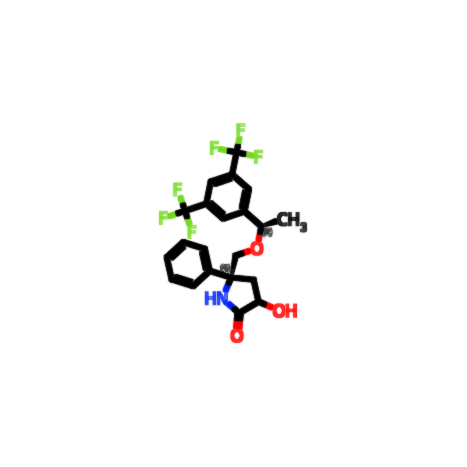 C[C@@H](OC[C@@]1(c2ccccc2)CC(O)C(=O)N1)c1cc(C(F)(F)F)cc(C(F)(F)F)c1